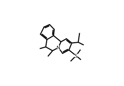 CC(C)C1=CC2c3ccccc3C(C)C(C)N2C=C1S(C)(C)C